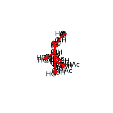 C=COP(=O)(O)OCCCCCCNC(=O)CCC(=O)N1Cc2ccccc2-c2nnn(CCCCCC(=O)NC(CCC(=O)NC(CCC(=O)C(CCC(=O)NCCCCCCOC3O[C@H](CO)[C@H](C)[C@H](O)[C@H]3NC(C)=O)C(=O)NCCCCCCOC3O[C@H](CO)[C@H](C)[C@H](O)[C@H]3NC(C)=O)C(=O)NCCCCCCO)C(=O)NCCCCCCO[C@@H]3O[C@H](CO)[C@H](O)[C@H](O)[C@H]3NC(C)=O)c2-c2ccccc21